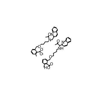 CC(=O)C(NCCCCOCc1cccc(C)c1C(=O)O)c1ccc2ccccc2n1.COC(=O)c1c(C)cccc1COCCCCN(Cc1ccc2ccccc2n1)C(C)=O